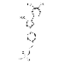 Cc1ccc(-c2sc(-c3cc[n+](CCCS(=O)(=O)O)cc3)nc2C)cc1C